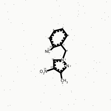 Cc1nn(Cc2ccccc2C#N)cc1[N+](=O)[O-]